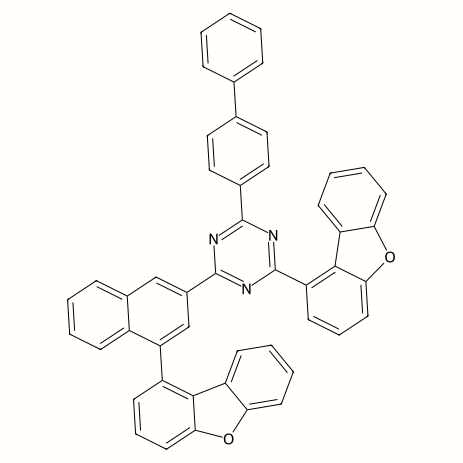 c1ccc(-c2ccc(-c3nc(-c4cc(-c5cccc6oc7ccccc7c56)c5ccccc5c4)nc(-c4cccc5oc6ccccc6c45)n3)cc2)cc1